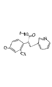 O=C(O)C(=Cc1cccnc1)c1ccc(Cl)cc1Cl